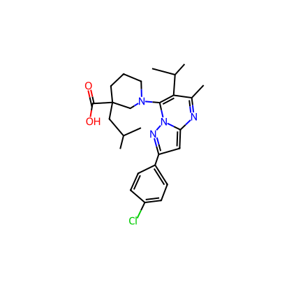 Cc1nc2cc(-c3ccc(Cl)cc3)nn2c(N2CCCC(CC(C)C)(C(=O)O)C2)c1C(C)C